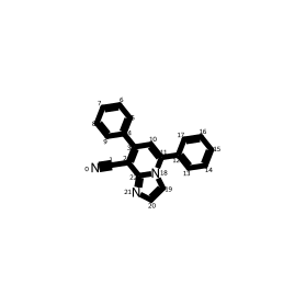 N#Cc1c(-c2ccccc2)cc(-c2ccccc2)n2ccnc12